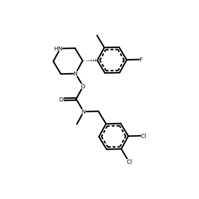 Cc1cc(F)ccc1[C@H]1CNCCN1OC(=O)N(C)Cc1ccc(Cl)c(Cl)c1